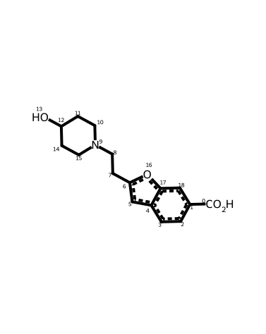 O=C(O)c1ccc2cc(CCN3CCC(O)CC3)oc2c1